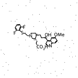 COc1ccc2nccc([C@H](O)CC[C@@H]3CCN(CCSc4c(F)cccc4F)C[C@H]3CCC(=O)O)c2c1